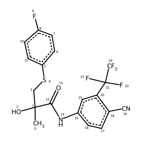 CC(O)(CSc1ccc(F)cc1)C(=O)Nc1ccc(C#N)c(C(F)(F)C(F)(F)F)c1